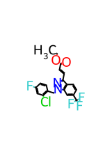 CCOC(=O)/C=C/c1nn(Cc2ccc(F)cc2Cl)c2cc(C(F)(F)F)ccc12